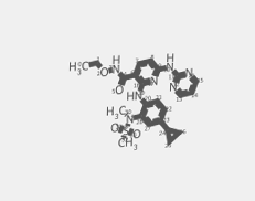 CCONC(=O)c1ccc(Nc2ncccn2)nc1Nc1ccc(C2CC2)cc1N(C)S(C)(=O)=O